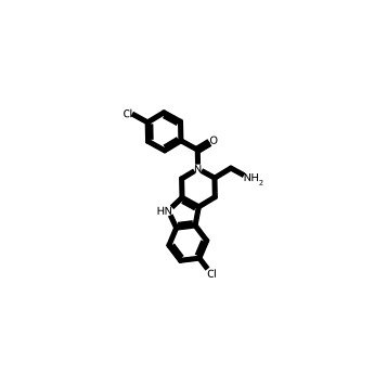 NCC1Cc2c([nH]c3ccc(Cl)cc23)CN1C(=O)c1ccc(Cl)cc1